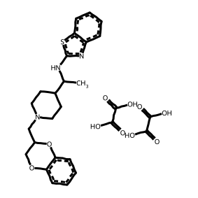 CC(Nc1nc2ccccc2s1)C1CCN(CC2COc3ccccc3O2)CC1.O=C(O)C(=O)O.O=C(O)C(=O)O